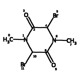 CN1C(=O)C(Br)N(C)C(=O)C1Br